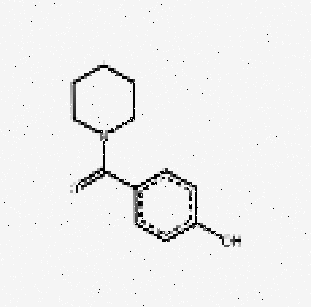 O=C(c1ccc(O)cc1)N1CC[CH]CC1